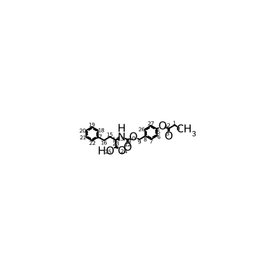 CCC(=O)Oc1ccc(COC(=O)NC(CCc2ccccc2)C(=O)O)cc1